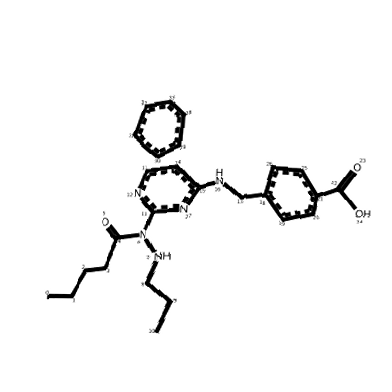 CCCCC(=O)N(NCCC)c1nccc(NCc2ccc(C(=O)O)cc2)n1.c1ccccc1